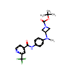 CN(c1ccc(NC(=O)c2ccnc(C(F)(F)F)c2)cc1)C1CN(C(=O)OC(C)(C)C)C1